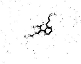 CCCCc1ccccc1C(=COCC)C(N)=O